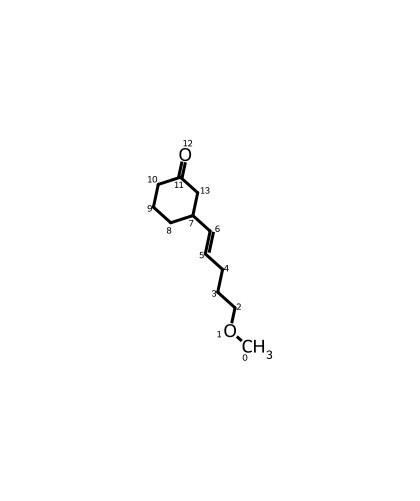 COCCCC=CC1CCCC(=O)C1